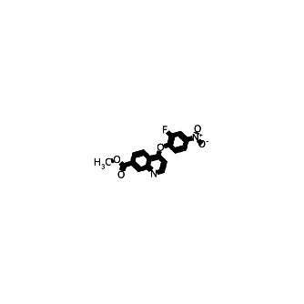 COC(=O)c1ccc2c(Oc3ccc([N+](=O)[O-])cc3F)ccnc2c1